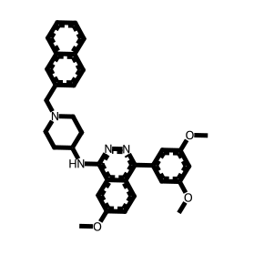 COc1cc(OC)cc(-c2nnc(NC3CCN(Cc4ccc5ccccc5c4)CC3)c3cc(OC)ccc23)c1